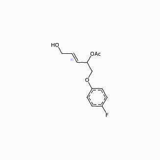 CC(=O)OC(/C=C/CO)COc1ccc(F)cc1